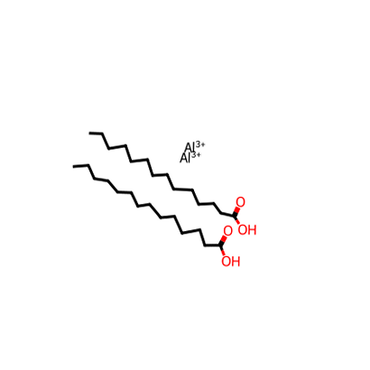 CCCCCCCCCCCCCC(=O)O.CCCCCCCCCCCCCC(=O)O.[Al+3].[Al+3]